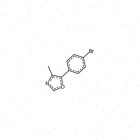 Cc1ncoc1-c1ccc(Br)cc1